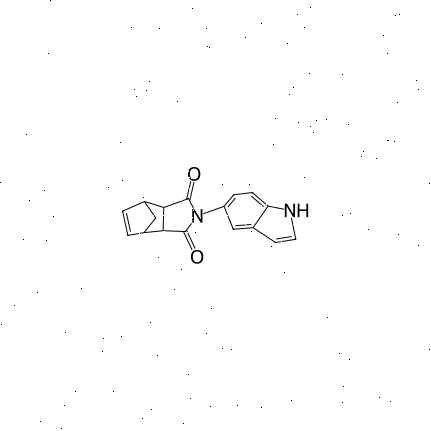 O=C1C2C3C=CC(C3)C2C(=O)N1c1ccc2[nH]ccc2c1